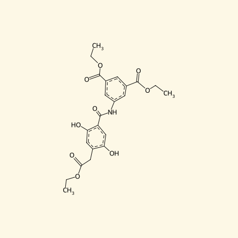 CCOC(=O)Cc1cc(O)c(C(=O)Nc2cc(C(=O)OCC)cc(C(=O)OCC)c2)cc1O